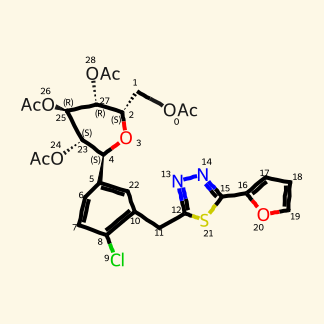 CC(=O)OC[C@@H]1O[C@@H](c2ccc(Cl)c(Cc3nnc(-c4ccco4)s3)c2)[C@H](OC(C)=O)[C@@H](OC(C)=O)[C@@H]1OC(C)=O